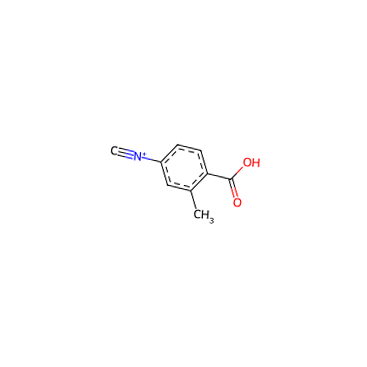 [C-]#[N+]c1ccc(C(=O)O)c(C)c1